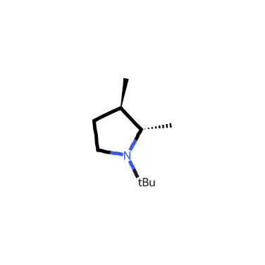 C[C@@H]1CCN(C(C)(C)C)[C@H]1C